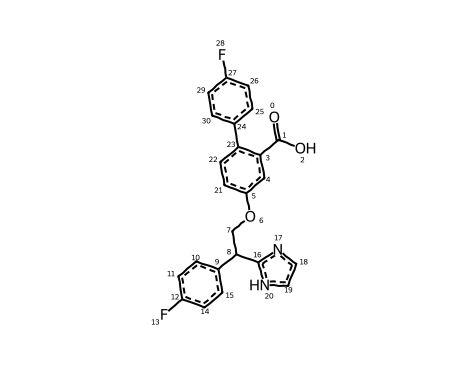 O=C(O)c1cc(OCC(c2ccc(F)cc2)c2ncc[nH]2)ccc1-c1ccc(F)cc1